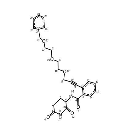 O=C1CCC(NC(=O)c2ccccc2C#CCOCCOCCOCc2ccccc2)C(=O)N1